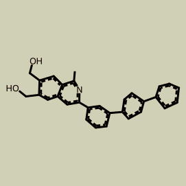 Cc1nc(-c2cccc(-c3ccc(-c4ccccc4)cc3)c2)cc2cc(CO)c(CO)cc12